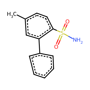 Cc1ccc(S(N)(=O)=O)c(-c2ccccc2)c1